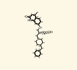 Cc1cc(=O)[nH]c2cc(OCCCN3CCC(Cc4ccccc4)CC3)ccc12.Cl.O.O